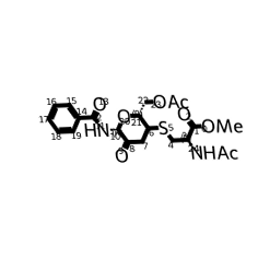 COC(=O)[C@H](CSC1CC(=O)[C@H](NC(=O)c2ccccc2)O[C@@H]1COC(C)=O)NC(C)=O